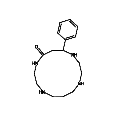 O=C1CC(c2ccccc2)NCCNCCCNCCN1